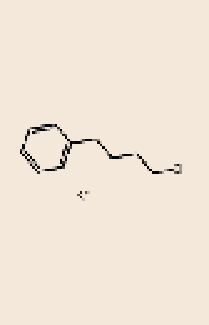 [K+].[O-]CCCCc1ccccc1